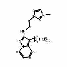 C[n+]1ccn(CCNc2nn3ccccc3c2N)c1.Cl.[Cl-]